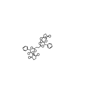 O=C(CCC(=O)OC(C(=O)ON1C(=O)CCC1=O)c1ccccc1)OC(C(=O)ON1C(=O)CCC1=O)c1ccccc1